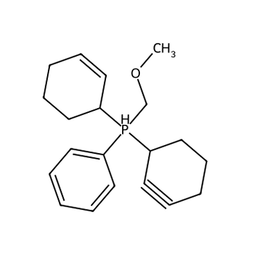 COC[PH](c1ccccc1)(C1C#CCCC1)C1C=CCCC1